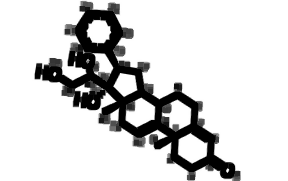 C[C@]12CCC(=O)C=C1CCC1C2=CC[C@@]2(C)C1C[C@H](c1ccccc1)[C@]2(O)C(O)CO